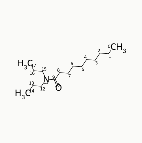 CCCCCCCCCC(=O)N(CCC)CCC